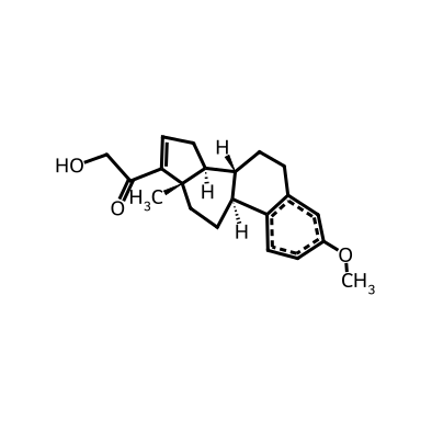 COc1ccc2c(c1)CC[C@@H]1[C@@H]2CC[C@]2(C)C(C(=O)CO)=CC[C@@H]12